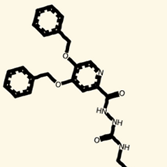 [C-]#[N+]CNC(=O)NNC(=O)c1cc(OCc2ccccc2)c(OCc2ccccc2)cn1